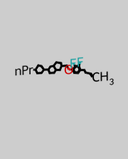 C/C=C/CCc1ccc(OCC2CCC3CC(C4CCC(CCC)CC4)CCC3C2)c(F)c1F